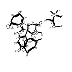 COC(C)[Si](C)(C)C.Cc1ccc(F)cc1[C@H]1N(C)C(=O)C[C@@H](c2cccc(Cl)c2)[C@]12C(=O)Nc1cc(Cl)ccc12